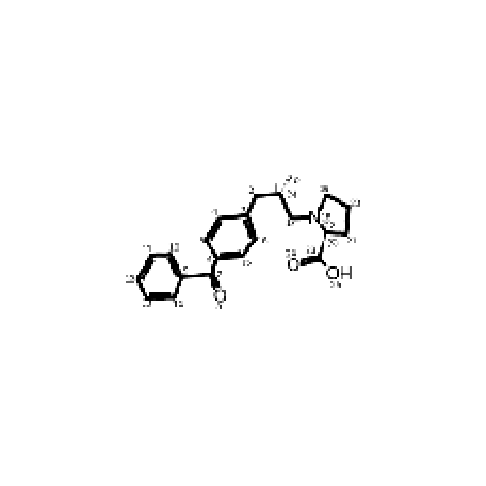 C[C@@H](Cc1ccc(C(=O)c2ccccc2)cc1)CN1CCC[C@H]1C(=O)O